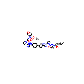 COC(=O)N[C@H](C(=O)N1CCCC1c1ncc(-c2ccc(-c3ccc(-c4cnc([C@@H]5CCCN5C(=O)CN(C(=O)OC(C)(C)C)C5CCOCC5)[nH]4)cc3)cc2)[nH]1)C(C)C